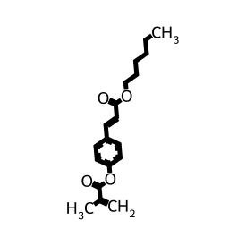 C=C(C)C(=O)Oc1ccc(C=CC(=O)OCCCCCC)cc1